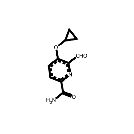 NC(=O)c1ccc(OC2CC2)c(C=O)n1